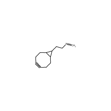 C=NCCC1C2CCC#CCCC21